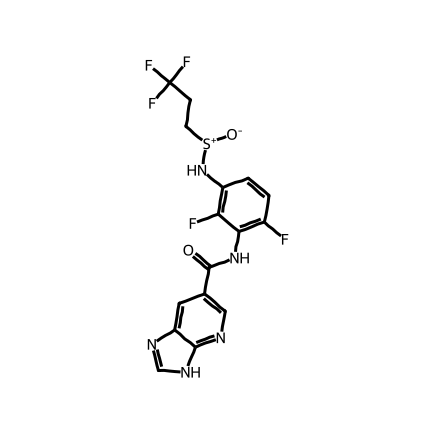 O=C(Nc1c(F)ccc(N[S+]([O-])CCC(F)(F)F)c1F)c1cnc2[nH]cnc2c1